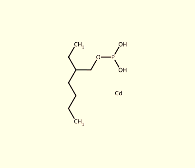 CCCCC(CC)COP(O)O.[Cd]